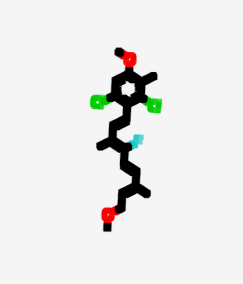 COCC=C(C)C=CC(F)=C(C)C=Cc1c(Cl)cc(OC)c(C)c1Cl